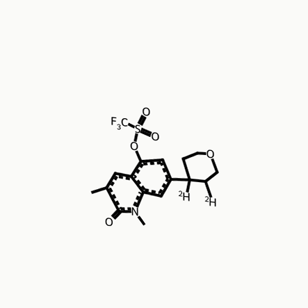 [2H]C1COCCC1([2H])c1cc(OS(=O)(=O)C(F)(F)F)c2cc(C)c(=O)n(C)c2c1